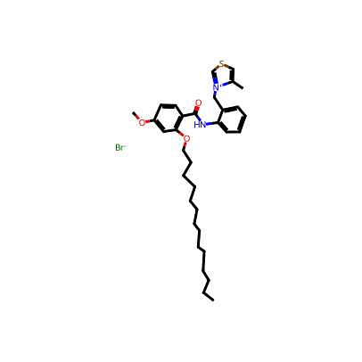 CCCCCCCCCCCCCCOc1cc(OC)ccc1C(=O)Nc1ccccc1C[n+]1cscc1C.[Br-]